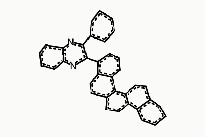 c1ccc(-c2nc3ccccc3nc2-c2cccc3c2ccc2ccc4c5ccccc5ccc4c23)cc1